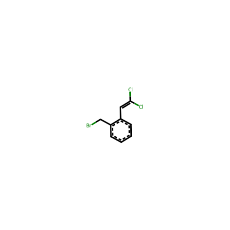 ClC(Cl)=Cc1ccccc1CBr